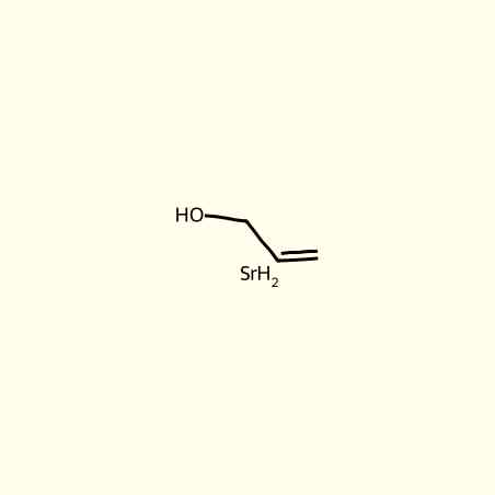 C=CCO.[SrH2]